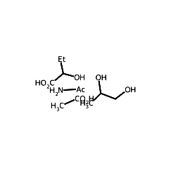 CC(=O)O.CC(N)=O.CC(O)CO.CCC(O)C(=O)O